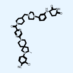 C[C@H]1CC2(CCN(c3cnc(C(=O)N4CCC(CN5CCN(c6cccc(N[C@H]7CCC(=O)NC7=O)c6)CC5)CC4)cn3)CC2)CN1c1ccc(C#N)c(Cl)c1